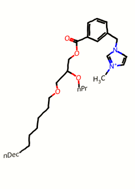 CCCCCCCCCCCCCCCCOCC(COC(=O)c1cccc(Cn2cc[n+](C)c2)c1)OCCC